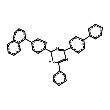 c1ccc(C2=NC(c3ccc(-c4ccccc4)cc3)=NC(c3ccc(-c4cccc5ccccc45)cc3)N2)cc1